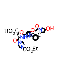 CCOC(=O)N1CCN(C(=O)[C@H](CCC(=O)O)NC(=O)c2cc(OCC(=O)N3C[C@H](O)C[C@@H]3C(=O)O)n(-c3ccccc3)n2)CC1